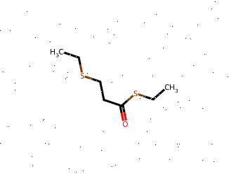 CCSCCC(=O)SCC